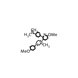 COc1ccc(N2CCN(c3ccc(OC)nc3-c3ccc(N(C)C)cc3)C(C)C2)cc1